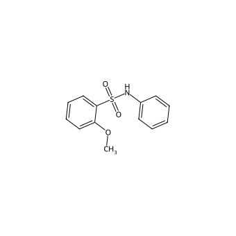 COc1ccccc1S(=O)(=O)Nc1ccccc1